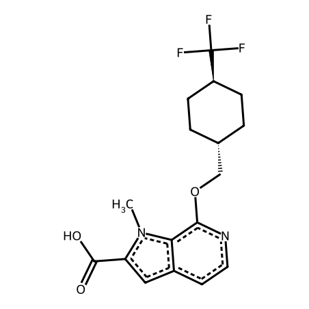 Cn1c(C(=O)O)cc2ccnc(OC[C@H]3CC[C@H](C(F)(F)F)CC3)c21